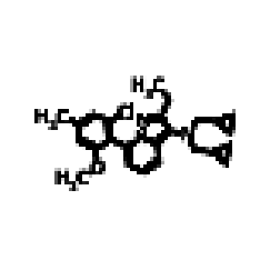 CCc1nn2c(-c3c(Cl)cc(C)cc3OC)cccc2c1N(CC1CC1)CC1CC1